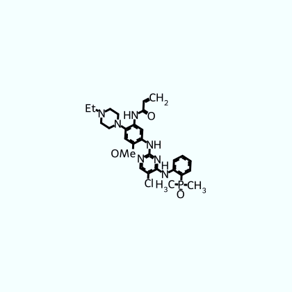 C=CC(=O)Nc1cc(Nc2ncc(Cl)c(Nc3ccccc3P(C)(C)=O)n2)c(OC)cc1N1CCN(CC)CC1